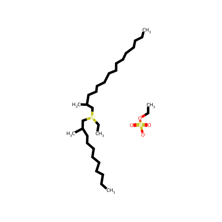 CCCCCCCCCCCCCC(C)C[S+](CC)CC(C)CCCCCCCCC.CCOS(=O)(=O)[O-]